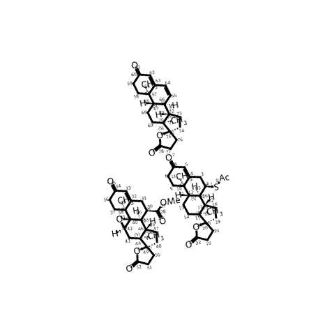 CC(=O)S[C@@H]1CC2=CC(=O)CC[C@]2(C)[C@H]2CC[C@@]3(C)[C@@H](CC[C@@]34CCC(=O)O4)[C@H]12.COC(=O)[C@@H]1CC2=CC(=O)CC[C@]2(C)[C@@]23O[C@@H]2C[C@@]2(C)[C@@H](CC[C@@]24CCC(=O)O4)[C@H]13.C[C@]12CCC(=O)C=C1C=C[C@@H]1[C@@H]2CC[C@@]2(C)[C@H]1CC[C@@]21CCC(=O)O1